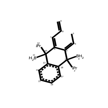 BC1(C(C)C)C(=C/C)/C(=C\C=C)C(B)(C(C)C)c2ccccc21